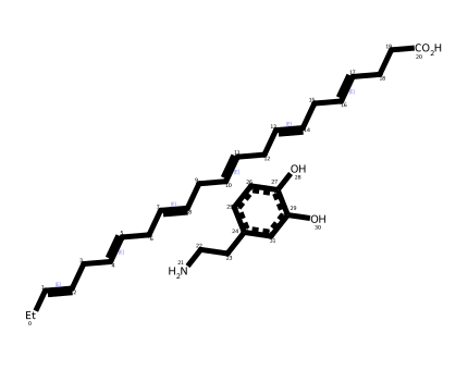 CC/C=C/C/C=C/C/C=C/C/C=C/C/C=C/C/C=C/CCC(=O)O.NCCc1ccc(O)c(O)c1